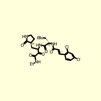 CCNC(=O)C(=O)C(C[C@@H]1CCNC1=O)NC(=O)[C@H](CC(C)(C)C)NC(=O)/C=C/c1ccc(Cl)cc1Cl